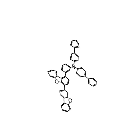 c1ccc(-c2ccc(N(c3ccc(-c4ccccc4)cc3)c3cccc(-c4ccc(-c5ccc6c(c5)oc5ccccc56)c5oc6ccccc6c45)c3)cc2)cc1